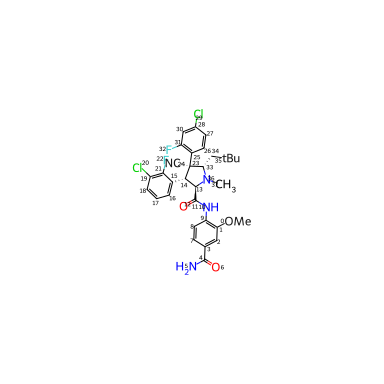 COc1cc(C(N)=O)ccc1NC(=O)[C@H]1[C@H](c2cccc(Cl)c2F)[C@@](C#N)(c2ccc(Cl)cc2F)[C@H](CC(C)(C)C)N1C